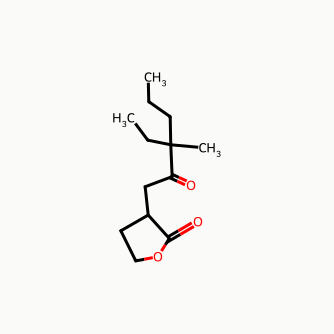 CCCC(C)(CC)C(=O)CC1CCOC1=O